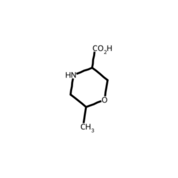 CC1CNC(C(=O)O)CO1